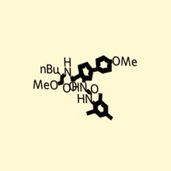 CCCC[C@H](NC(=O)c1ccc(-c2ccc(OC)cc2)cc1NC(=O)Nc1c(C)cc(C)cc1C)C(=O)OC